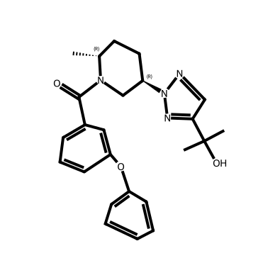 C[C@@H]1CC[C@@H](n2ncc(C(C)(C)O)n2)CN1C(=O)c1cccc(Oc2ccccc2)c1